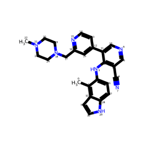 Cc1c(Nc2c(C#N)cncc2-c2ccnc(CN3CCN(C)CC3)c2)ccc2[nH]ccc12